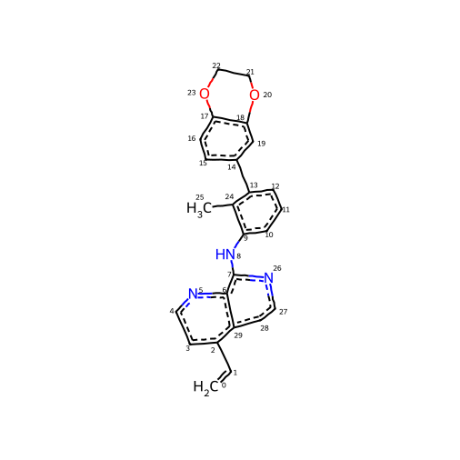 C=Cc1ccnc2c(Nc3cccc(-c4ccc5c(c4)OCCO5)c3C)nccc12